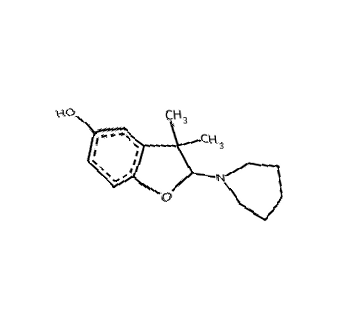 CC1(C)c2cc(O)ccc2OC1N1CCCCC1